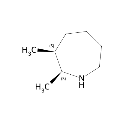 C[C@@H]1NCCCC[C@@H]1C